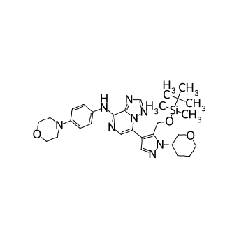 CC(C)(C)[Si](C)(C)OCc1c(-c2cnc(Nc3ccc(N4CCOCC4)cc3)c3ncnn23)cnn1C1CCCOC1